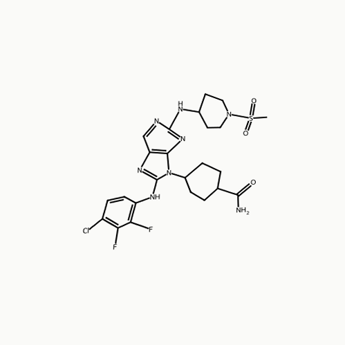 CS(=O)(=O)N1CCC(Nc2ncc3nc(Nc4ccc(Cl)c(F)c4F)n(C4CCC(C(N)=O)CC4)c3n2)CC1